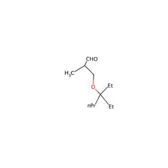 CCCC(CC)(CC)OCC(C)C=O